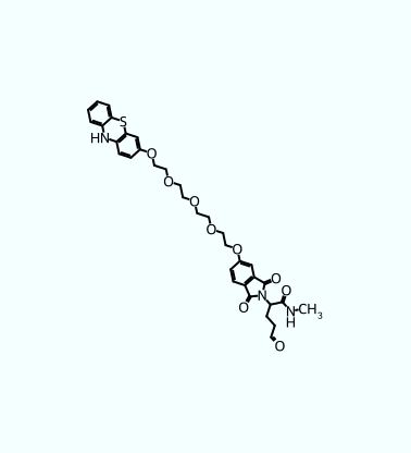 CNC(=O)C(CCC=O)N1C(=O)c2ccc(OCCOCCOCCOCCOc3ccc4c(c3)Sc3ccccc3N4)cc2C1=O